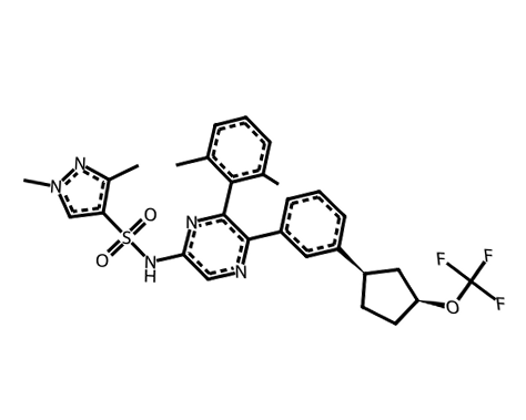 Cc1cccc(C)c1-c1nc(NS(=O)(=O)c2cn(C)nc2C)cnc1-c1cccc([C@@H]2CC[C@H](OC(F)(F)F)C2)c1